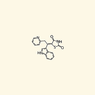 O=C1NC(=O)C(=C(Cc2ccccn2)c2c[nH]c3ccccc23)S1